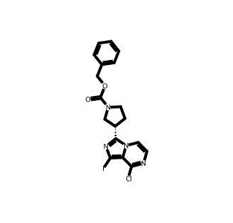 O=C(OCc1ccccc1)N1CC[C@H](c2nc(I)c3c(Cl)nccn23)C1